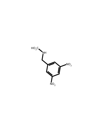 O=C(O)NCc1cc([N+](=O)[O-])cc([N+](=O)[O-])c1